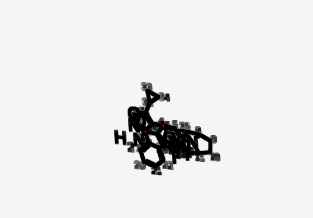 NC(=O)c1ccc(N2C3CCC2CC(OCc2c(-c4ccccc4OC(F)(F)F)noc2C2CC2)C3)nc1